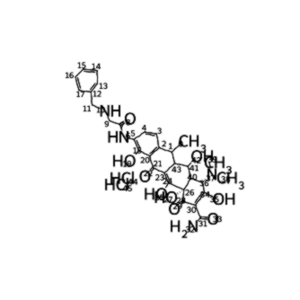 CC1c2ccc(NC(=O)CNCc3ccccc3)c(O)c2C(=O)C2=C(O)[C@]3(O)C(=O)C(C(N)=O)=C(O)[C@@H](N(C)C)C3C(O)C21.Cl.Cl